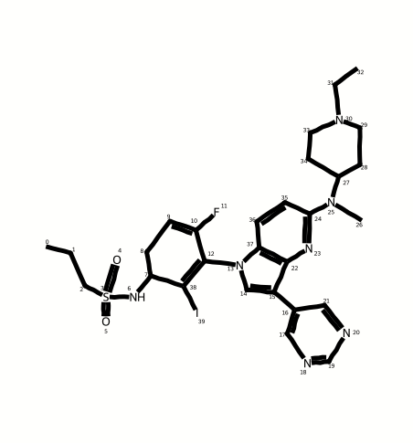 CCCS(=O)(=O)NC1CC=C(F)C(n2cc(-c3cncnc3)c3nc(N(C)C4CCN(CC)CC4)ccc32)=C1I